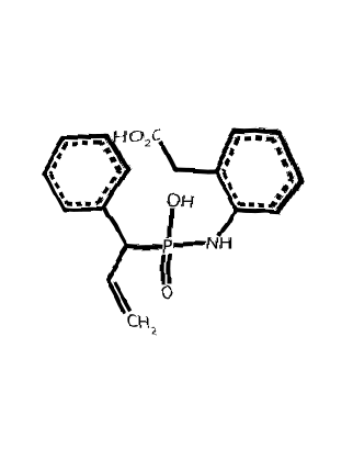 C=CC(c1ccccc1)P(=O)(O)Nc1ccccc1CC(=O)O